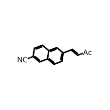 CC(=O)C=Cc1ccc2cc(C#N)ccc2c1